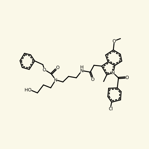 COc1ccc2c(c1)c(CC(=O)NCCCN(CCCO)C(=O)OCc1ccccc1)c(C)n2C(=O)c1ccc(Cl)cc1